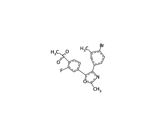 Cc1nc(-c2ccc(Br)c(C)c2)c(-c2ccc(S(C)(=O)=O)c(F)c2)o1